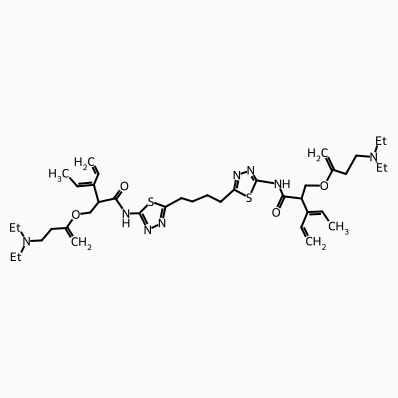 C=C/C(=C\C)C(COC(=C)CCN(CC)CC)C(=O)Nc1nnc(CCCCc2nnc(NC(=O)C(COC(=C)CCN(CC)CC)/C(C=C)=C/C)s2)s1